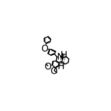 COc1cc2c(cc1OC)[C@H]1CCCC[C@H]1N=C2c1ccc(Oc2ccccc2)cc1